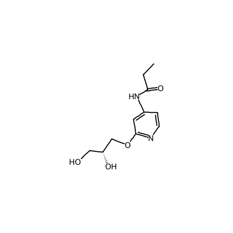 CCC(=O)Nc1ccnc(OC[C@H](O)CO)c1